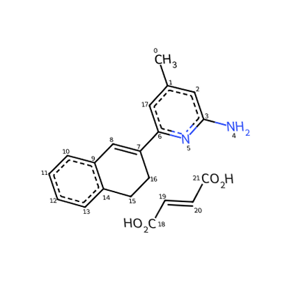 Cc1cc(N)nc(C2=Cc3ccccc3CC2)c1.O=C(O)C=CC(=O)O